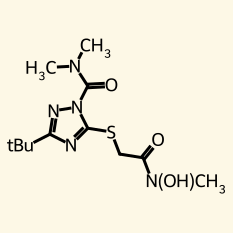 CN(C)C(=O)n1nc(C(C)(C)C)nc1SCC(=O)N(C)O